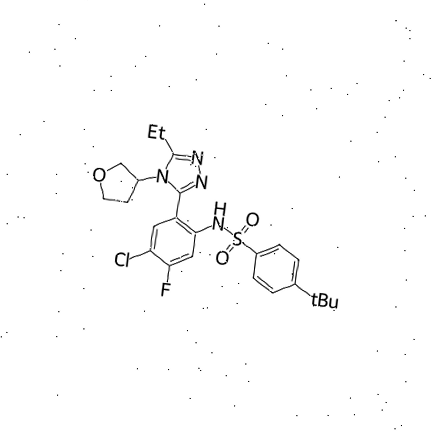 CCc1nnc(-c2cc(Cl)c(F)cc2NS(=O)(=O)c2ccc(C(C)(C)C)cc2)n1C1CCOC1